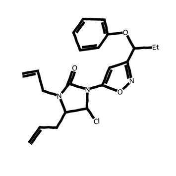 C=CCC1C(Cl)N(c2cc(C(CC)Oc3ccccc3)no2)C(=O)N1CC=C